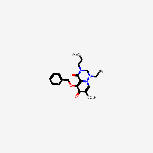 COCCN1CN(CC(C)C)n2cc(C(=O)O)c(=O)c(OCc3ccccc3)c2C1=O